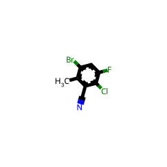 Cc1c(Br)cc(F)c(Cl)c1C#N